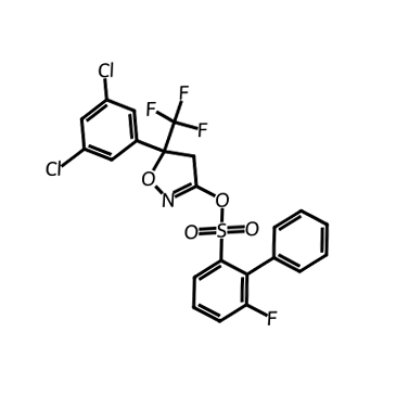 O=S(=O)(OC1=NOC(c2cc(Cl)cc(Cl)c2)(C(F)(F)F)C1)c1cccc(F)c1-c1ccccc1